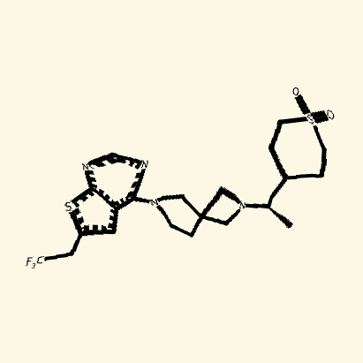 C[C@H](C1CCS(=O)(=O)CC1)N1CC2(CCN(c3ncnc4sc(CC(F)(F)F)cc34)C2)C1